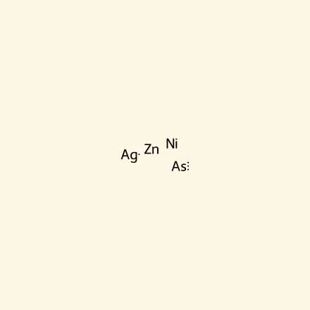 [Ag].[As].[Ni].[Zn]